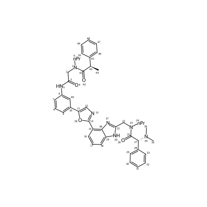 CCCN(CC(=O)Nc1cccc(-c2cnc(-c3cccc4[nH]c(CN(CCC)C(=O)[C@@H](c5ccccc5)N(C)C)nc34)o2)c1)C(=O)[C@H](C)c1ccccc1